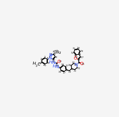 Cc1ccc(-n2nc(C(C)(C)C)cc2NC(=O)Nc2ccc(CC3CCN(C(=O)c4cc5ccccc5o4)CC3)cc2)cc1